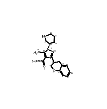 NC(=O)c1c(C2COc3ccccc3C2)nn([C@@H]2CCCNC2)c1N